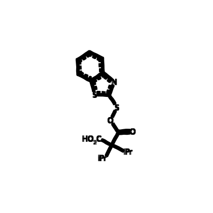 CC(C)C(C(=O)O)(C(=O)OSc1nc2ccccc2s1)C(C)C